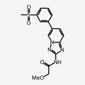 COCC(=O)Nc1nc2ccc(-c3cccc(S(C)(=O)=O)c3)cn2n1